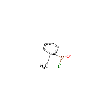 Cc1ccccc1[S+]([O-])Cl